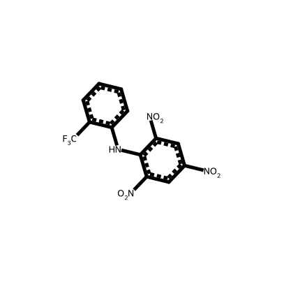 O=[N+]([O-])c1cc([N+](=O)[O-])c(Nc2ccccc2C(F)(F)F)c([N+](=O)[O-])c1